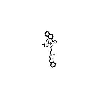 CC(C)(C)OC(=O)N(CCCCNCC1Cc2ccccc2O1)C(=O)c1ccc2ccccc2c1